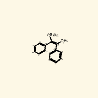 CC(=O)NC(=C(OC(C)=O)c1ccccc1)c1ccccc1